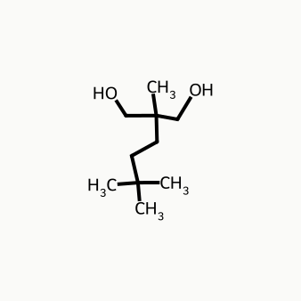 CC(C)(C)CCC(C)(CO)CO